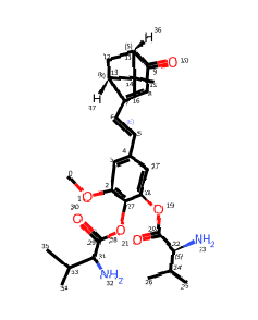 COc1cc(/C=C/C2=CC(=O)[C@H]3C[C@@H]2C3(C)C)cc(OC(=O)[C@@H](N)C(C)C)c1OC(=O)C(N)C(C)C